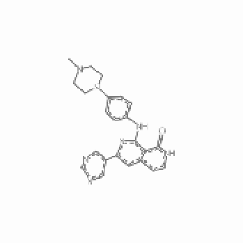 CN1CCN(c2ccc(Nc3nc(-c4cncnc4)cc4cc[nH]c(=O)c34)cc2)CC1